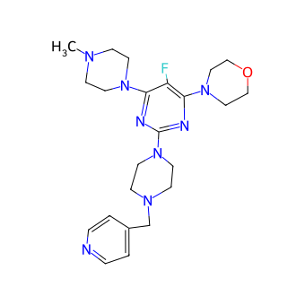 CN1CCN(c2nc(N3CCN(Cc4ccncc4)CC3)nc(N3CCOCC3)c2F)CC1